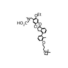 CCOc1cc(O[C@H]2CCc3c(-c4cccc(OCCCN5CCC5(C)C)c4C)cccc32)c(Cl)cc1CN(C)CC(=O)O